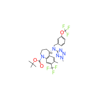 Cc1cc2c(cc1C(F)(F)F)N(C(=O)OC(C)(C)C)CCC[C@@H]2N(Cc1cccc(OC(F)(F)F)c1)c1nnn(C)n1